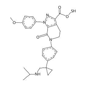 COc1ccc(-n2nc(C(=O)OS)c3c2C(=O)N(c2ccc(C4(CNC(C)C)CC4)cc2)CC3)cc1